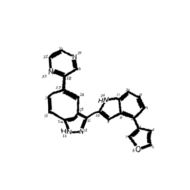 c1cc(-c2ccoc2)c2cc(-c3n[nH]c4ccc(-c5cnccn5)cc34)[nH]c2c1